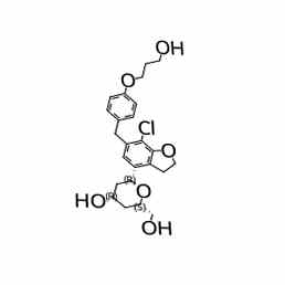 OCCCOc1ccc(Cc2cc([C@H]3C[C@@H](O)C[C@@H](CO)O3)c3c(c2Cl)OCC3)cc1